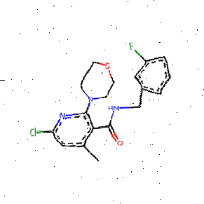 Cc1cc(Cl)nc(N2CCOCC2)c1C(=O)NCc1cccc(F)c1